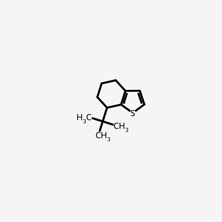 CC(C)(C)C1CCCc2ccsc21